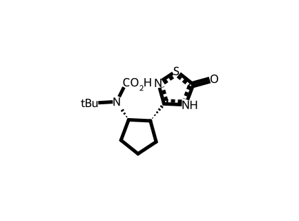 CC(C)(C)N(C(=O)O)[C@H]1CCC[C@H]1c1nsc(=O)[nH]1